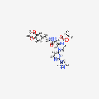 CCC(C)OC(=O)N1CCN(c2ccnc(-n3ccnc3)n2)CC1CC(=O)NCCc1ccc2c(c1)OCCO2